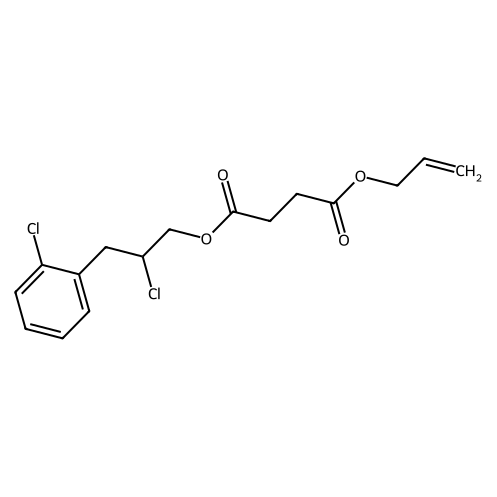 C=CCOC(=O)CCC(=O)OCC(Cl)Cc1ccccc1Cl